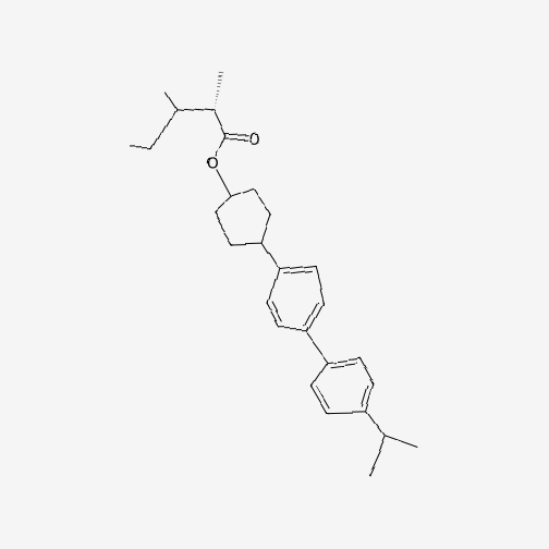 CCC(C)[C@H](C)C(=O)OC1CCC(c2ccc(-c3ccc(C(C)C)cc3)cc2)CC1